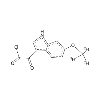 [2H]C([2H])([2H])Oc1ccc2c(C(=O)C(=O)Cl)c[nH]c2c1